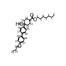 CCCCCCCOC(=O)C1CCC(O)(c2ccc(-c3ccc(OCCC)cc3)cc2)CC1